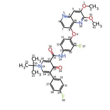 COc1cc2nccc(Oc3ccc(NC(=O)c4cn(C(C)(C)C)cc(-c5ccc(F)cc5)c4=O)cc3F)c2nc1OC